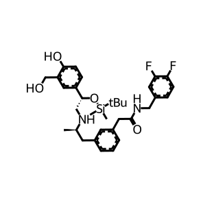 C[C@H](Cc1cccc(CC(=O)NCc2ccc(F)c(F)c2)c1)NC[C@@H](O[Si](C)(C)C(C)(C)C)c1ccc(O)c(CO)c1